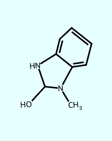 CN1c2ccccc2NC1O